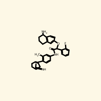 Cc1cc(NC(=O)C(Oc2ccc3c(c2)CCCC3N)c2ccccc2F)ccc1N1C(=N)C2CCC1CC2